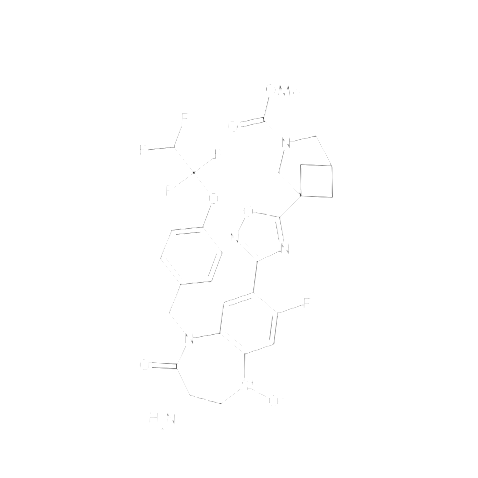 COC(=O)N1CC2CC(c3nc(-c4cc5c(cc4F)[S+]([O-])C[C@H](N)C(=O)N5Cc4ccc(OC(F)(F)C(F)F)cc4)no3)(C2)C1